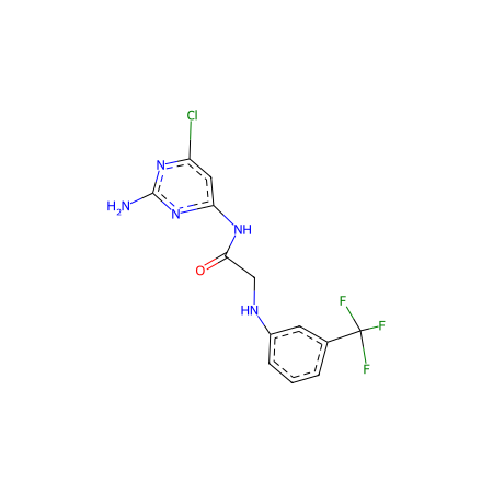 Nc1nc(Cl)cc(NC(=O)CNc2cccc(C(F)(F)F)c2)n1